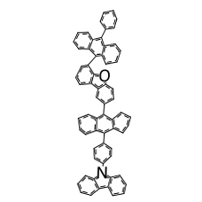 c1ccc(-c2c3ccccc3c(-c3cccc4c3oc3ccc(-c5c6ccccc6c(-c6ccc(-n7c8ccccc8c8ccccc87)cc6)c6ccccc56)cc34)c3ccccc23)cc1